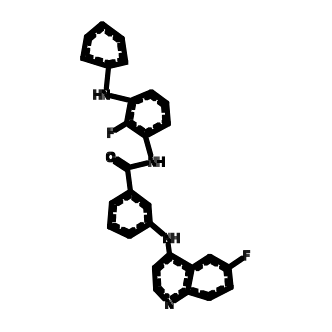 O=C(Nc1cccc(Nc2ccccc2)c1F)c1cccc(Nc2ccnc3ccc(F)cc23)c1